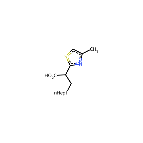 CCCCCCCCC(C(=O)O)c1nc(C)cs1